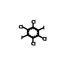 Clc1c(Cl)c(I)c(Cl)c(Cl)c1I